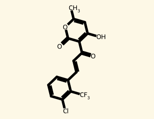 Cc1cc(O)c(C(=O)C=Cc2cccc(Cl)c2C(F)(F)F)c(=O)o1